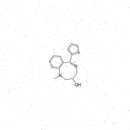 CN1CC(O)C/N=C(/c2cccs2)c2ccccc21